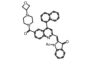 CC(=O)N1/C(=C\c2cc(-c3cccc4ccccc34)c3cc(C(=O)N4CCN(C5COC5)CC4)ccc3n2)C(=O)c2ccccc21